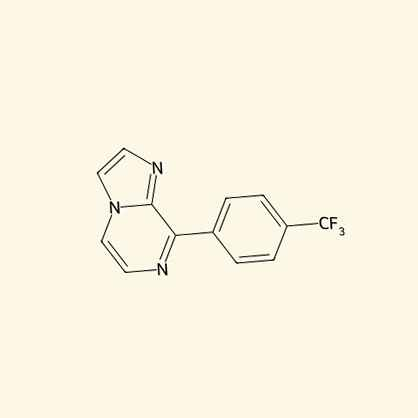 FC(F)(F)c1ccc(-c2nccn3ccnc23)cc1